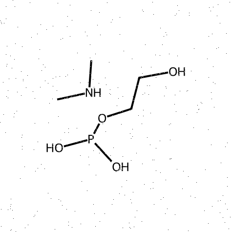 CNC.OCCOP(O)O